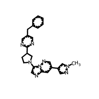 Cn1cc(-c2cnn3c(N4CCC(c5ncc(Cc6ccccc6)cn5)C4)cnc3c2)cn1